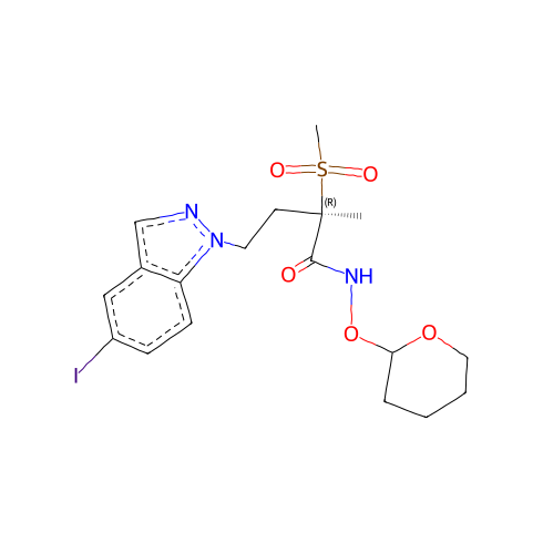 C[C@@](CCn1ncc2cc(I)ccc21)(C(=O)NOC1CCCCO1)S(C)(=O)=O